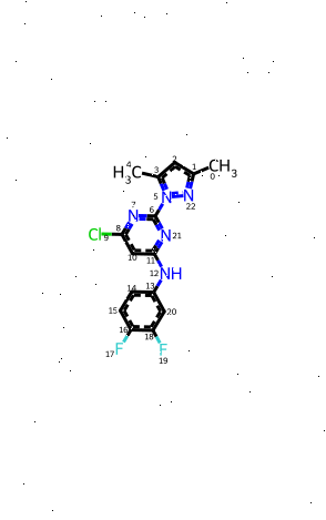 Cc1cc(C)n(-c2nc(Cl)cc(Nc3ccc(F)c(F)c3)n2)n1